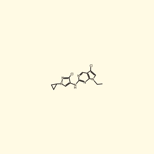 CCn1cc(Cl)c2cnc(Nc3cn(C4CC4)nc3Cl)nc21